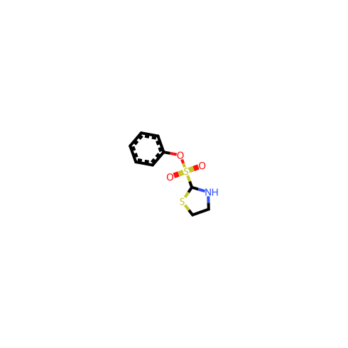 O=S(=O)(Oc1ccccc1)C1NCCS1